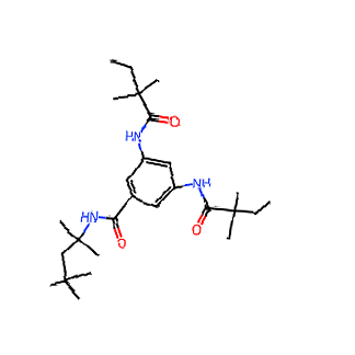 CCC(C)(C)C(=O)Nc1cc(NC(=O)C(C)(C)CC)cc(C(=O)NC(C)(C)CC(C)(C)C)c1